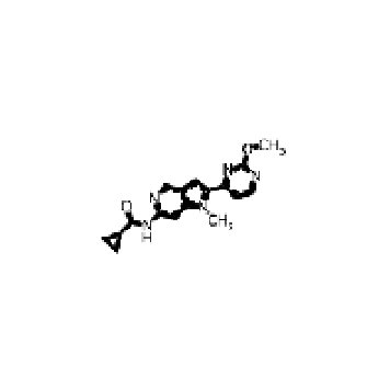 COc1nccc(-c2cc3cnc(NC(=O)C4CC4)cc3n2C)n1